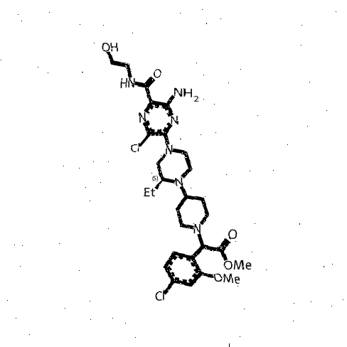 CC[C@H]1CN(c2nc(N)c(C(=O)NCCO)nc2Cl)CCN1C1CCN(C(C(=O)OC)c2ccc(Cl)cc2OC)CC1